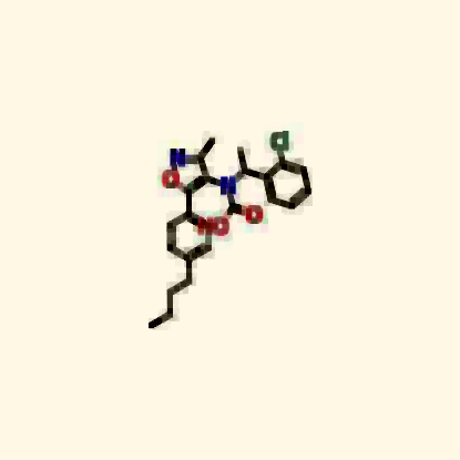 CCCCc1ccc(-c2onc(C)c2N(C(=O)O)C(C)c2ccccc2Cl)cc1